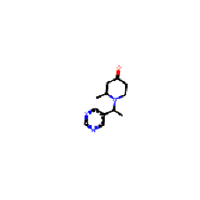 CC1CC(=O)CCN1C(C)c1cncnc1